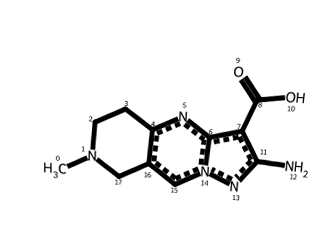 CN1CCc2nc3c(C(=O)O)c(N)nn3cc2C1